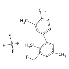 Cc1cc(CF)c([SH2+])c(-c2ccc(C)c(C)c2)c1.F[B-](F)(F)F